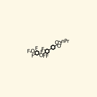 CCCC1COC(c2ccc(-c3cc(F)c(C(F)(F)Oc4cc(F)c(OCF)c(F)c4)c(F)c3)cc2)OC1